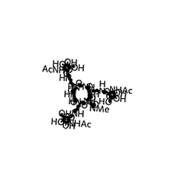 CNC(=O)CC[C@@H]1NC(=O)[C@H](CCCCNCO[C@@H]2O[C@H](CO)[C@H](O)[C@H](O)[C@H]2NC(C)=O)NC(=O)CNC(=O)[C@H](CCCCNCO[C@@H]2O[C@H](CO)[C@H](O)[C@H](O)[C@H]2NC(C)=O)NC(=O)CNC(=O)[C@H](CCCCNCO[C@@H]2O[C@H](CO)[C@H](O)[C@H](O)[C@H]2NC(C)=O)NC1=O